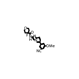 COc1cc(C#N)cc(-c2ccc3nc(NC(=O)C4(F)CCOCC4)cn3c2)c1